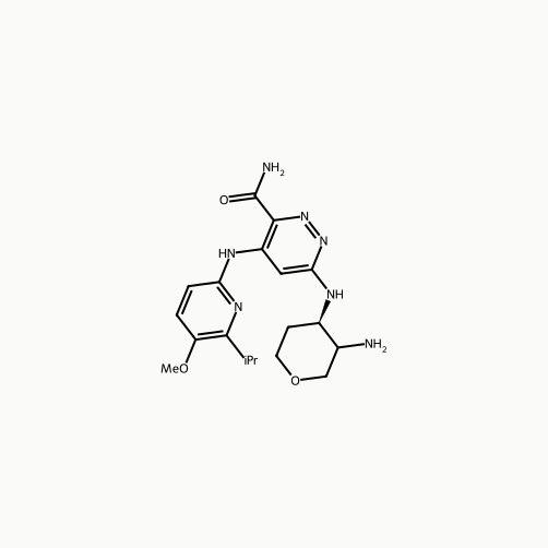 COc1ccc(Nc2cc(N[C@@H]3CCOCC3N)nnc2C(N)=O)nc1C(C)C